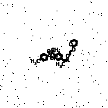 CC(=NOCCOC1CCCCO1)c1ccc(N(C)S(=O)(=O)c2ccc(C)cc2)nc1